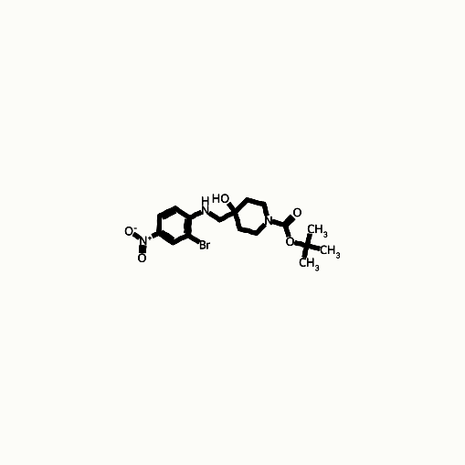 CC(C)(C)OC(=O)N1CCC(O)(CNc2ccc([N+](=O)[O-])cc2Br)CC1